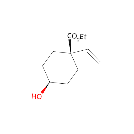 C=C[C@]1(C(=O)OCC)CC[C@@H](O)CC1